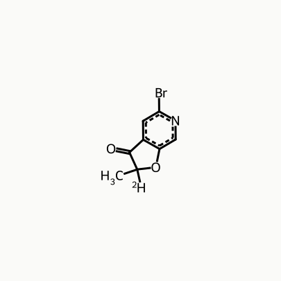 [2H]C1(C)Oc2cnc(Br)cc2C1=O